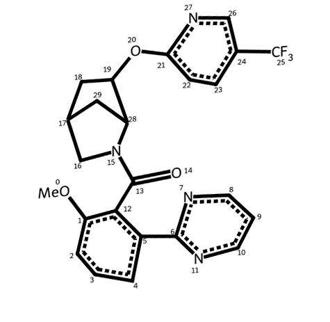 COc1cccc(-c2ncccn2)c1C(=O)N1CC2CC(Oc3ccc(C(F)(F)F)cn3)C1C2